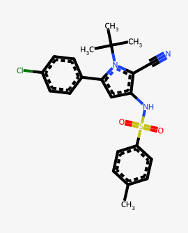 Cc1ccc(S(=O)(=O)Nc2cc(-c3ccc(Cl)cc3)n(C(C)(C)C)c2C#N)cc1